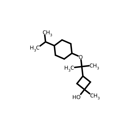 CC(C)C1CCC(OC(C)(C)C2CC(C)(O)C2)CC1